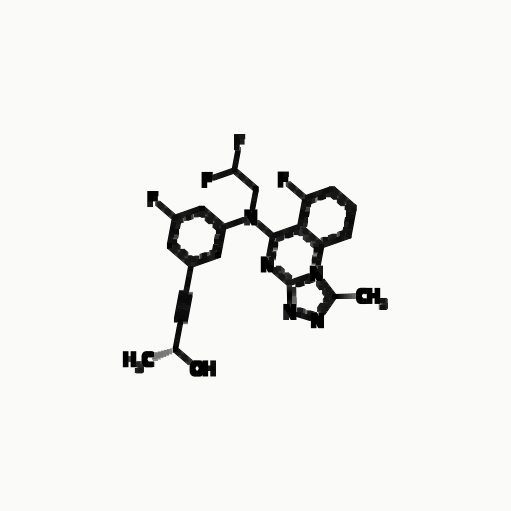 Cc1nnc2nc(N(CC(F)F)c3cc(F)cc(C#C[C@@H](C)O)c3)c3c(F)cccc3n12